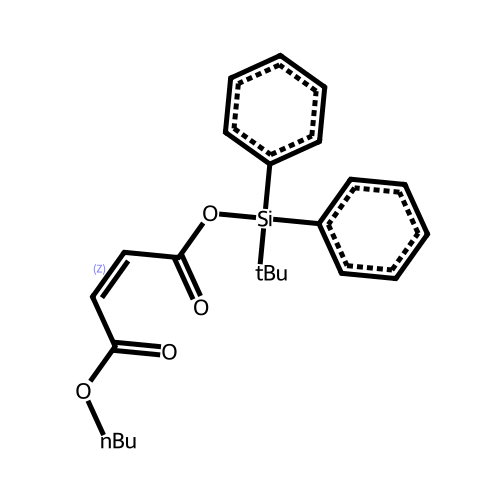 CCCCOC(=O)/C=C\C(=O)O[Si](c1ccccc1)(c1ccccc1)C(C)(C)C